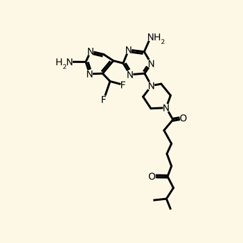 CC(C)CC(=O)CCCCC(=O)N1CCN(c2nc(N)nc(-c3cnc(N)nc3C(F)F)n2)CC1